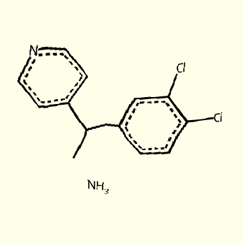 CC(c1ccncc1)c1ccc(Cl)c(Cl)c1.N